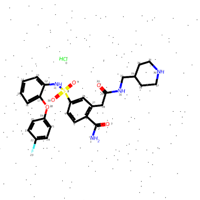 Cl.NC(=O)c1ccc(S(=O)(=O)Nc2ccccc2Oc2ccc(F)cc2)cc1CC(=O)NCC1CCNCC1